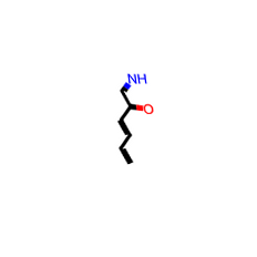 C=CC=CC(=O)C=N